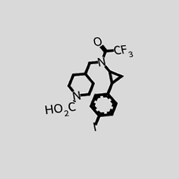 O=C(O)N1CCC(CN(C(=O)C(F)(F)F)C2CC2c2ccc(I)cc2)CC1